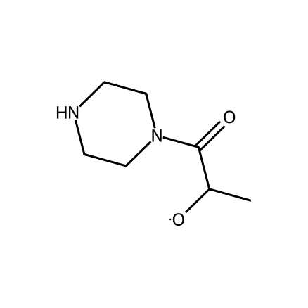 CC([O])C(=O)N1CCNCC1